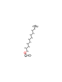 CC(C)(C)CCCCCCCCCCCO[C]=O